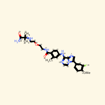 COc1ccc(-c2cnc3c(Nc4ccc(C(=O)NCCOCCNC(C)(C)C(N)=O)c(C)c4)nccn23)cc1F